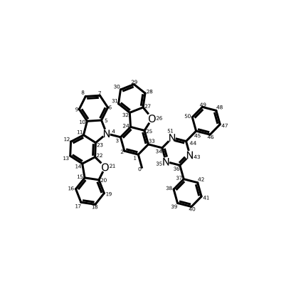 Cc1cc(-n2c3ccccc3c3ccc4c5ccccc5oc4c32)c2c(oc3ccccc32)c1-c1nc(-c2ccccc2)nc(-c2ccccc2)n1